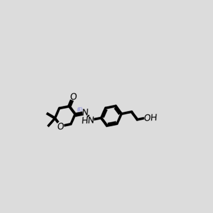 CC1(C)CC(=O)/C(=N/Nc2ccc(CCO)cc2)CO1